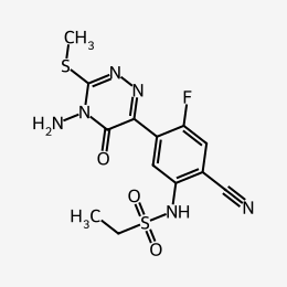 CCS(=O)(=O)Nc1cc(-c2nnc(SC)n(N)c2=O)c(F)cc1C#N